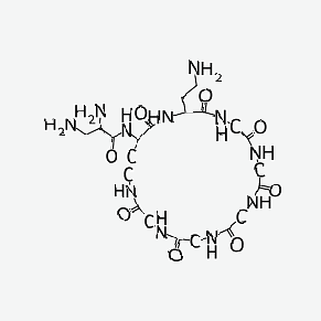 NCCC1NC(=O)C(NC(=O)C(N)CN)CCNC(=O)CNC(=O)CNC(=O)CNC(=O)CNC(=O)CNC1=O